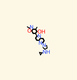 Cc1nc2c(C)c(O)c(-c3ccc4nc(N5CCC(NC6CC6)C5)ccc4n3)cc2o1